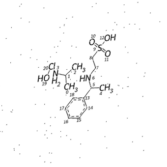 CC(C)N.CC(NCCS(=O)(=O)O)c1ccccc1.OCl